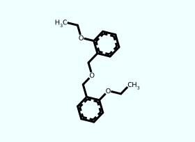 CCOc1ccccc1COCc1ccccc1OCC